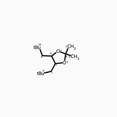 CC(C)(C)CC1OC(C)(C)OC1CC(C)(C)C